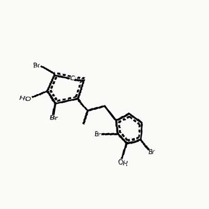 CC(Cc1ccc(Br)c(O)c1Br)c1ccc(Br)c(O)c1Br